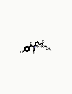 CCOC(=O)C1CC/C(=C(/C#N)C(=O)c2ccc(Cl)cc2)N1